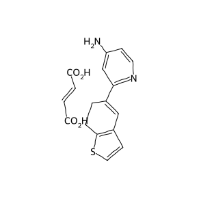 Nc1ccnc(C2=Cc3ccsc3CC2)c1.O=C(O)C=CC(=O)O